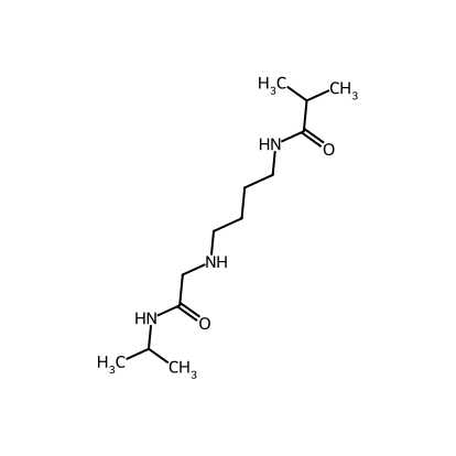 CC(C)NC(=O)CNCCCCNC(=O)C(C)C